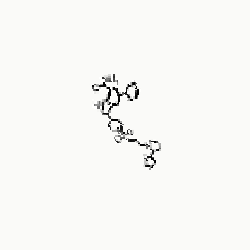 NC(=O)c1cc(-c2ccccc2)cc2c(C3CCN(S(=O)(=O)CCCN4CCCC4c4cccs4)CC3)c[nH]c12